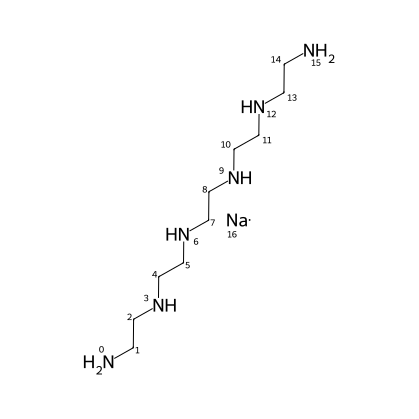 NCCNCCNCCNCCNCCN.[Na]